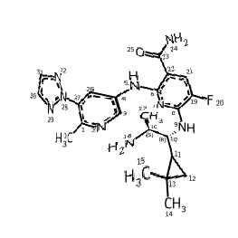 Cc1ncc(Nc2nc(N[C@H](C3CC3(C)C)[C@H](C)N)c(F)cc2C(N)=O)cc1-n1nccn1